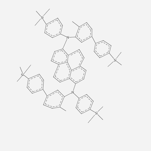 Cc1ccc(-c2ccc([Si](C)(C)C)cc2)cc1N(c1ccc([Si](C)(C)C)cc1)c1ccc2ccc3c(N(c4ccc([Si](C)(C)C)cc4)c4cc(-c5ccc([Si](C)(C)C)cc5)ccc4C)ccc4ccc1c2c43